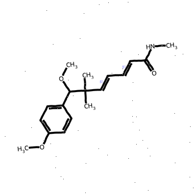 CNC(=O)/C=C/C=C/C(C)(C)C(OC)c1ccc(OC)cc1